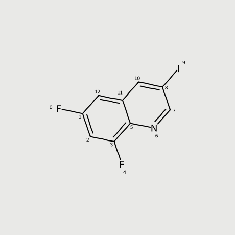 Fc1cc(F)c2ncc(I)cc2c1